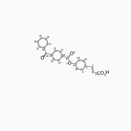 O=C(O)C=Cc1ccc(OC(=O)c2ccc(C(=O)c3ccccc3)cc2)cc1